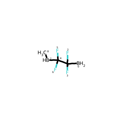 BC(F)(F)C(F)(F)BC